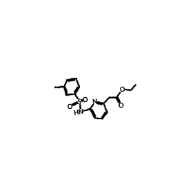 CCOC(=O)Cc1cccc(NS(=O)(=O)c2cccc(C)c2)n1